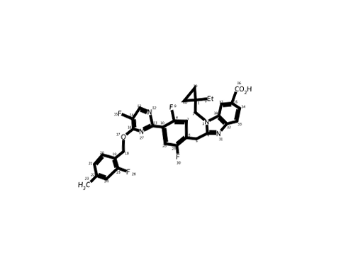 CCC1(Cn2c(Cc3cc(F)c(-c4ncc(F)c(OCc5ccc(C)cc5F)n4)cc3F)nc3ccc(C(=O)O)cc32)CC1